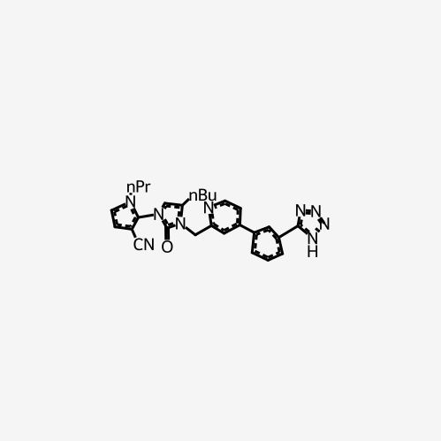 CCCCc1cn(-c2c(C#N)ccn2CCC)c(=O)n1Cc1cc(-c2cccc(-c3nnn[nH]3)c2)ccn1